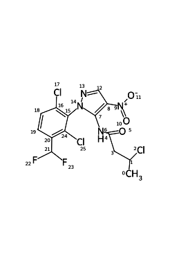 CC(Cl)CC(=O)Nc1c([N+](=O)[O-])cnn1-c1c(Cl)ccc(C(F)F)c1Cl